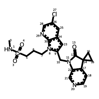 CNS(=O)(=O)CCCn1c(CN2C(=O)C3(CC3)c3ccncc32)cc2cc(Cl)cnc21